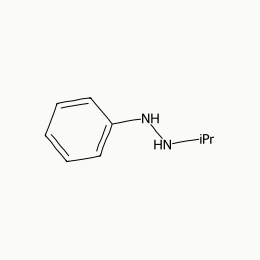 CC(C)NNc1ccccc1